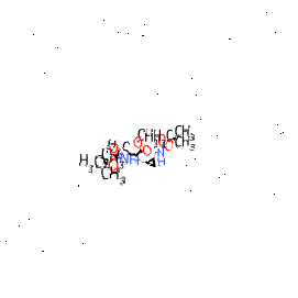 COC(=O)[C@H](C[C@H]1C[C@H]1CNC(=O)OC(C)(C)C)[C@@H](C)NC(=O)OC(C)(C)C